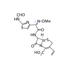 C=CC1=C(C(=O)O)N2C(=O)C(NC(=O)/C(=N\OC)c3csc(NC=O)n3)[C@H]2SC1